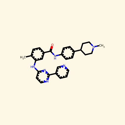 Cc1ccc(C(=O)Nc2ccc(C3CCN(C)CC3)cc2)cc1Nc1ccnc(-c2cccnc2)n1